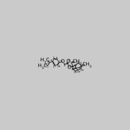 CCC(C)c1ccc(OCC(=O)OC2(CC)C3CC4CC2CC(C)(C4)C3)cc1